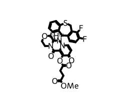 COC(=O)CCC(=O)Oc1c2n(ccc1=O)N([C@@H]1c3ccccc3SCc3c1ccc(F)c3F)[C@@H]1[C@H](C)OCCN1C2=O